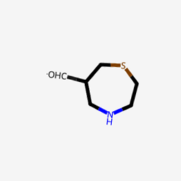 O=[C]C1CNCCSC1